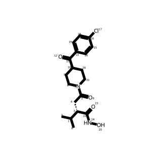 CC(C)[C@H](CC(=O)N1CCC(C(=O)c2ccc(Cl)cc2)CC1)C(=O)NO